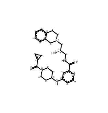 O=C(NC[C@H](O)CN1CCc2ccccc2C1)c1cc(NC2CCN(C(=O)C3=CC3)CC2)ccn1